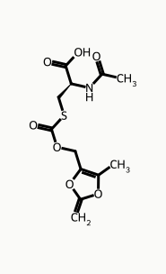 C=C1OC(C)=C(COC(=O)SC[C@H](NC(C)=O)C(=O)O)O1